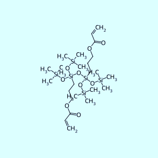 C=CC(=O)OCCC[Si](O[Si](C)(C)C)(O[Si](C)(C)C)O[Si](CCCOC(=O)C=C)(O[Si](C)(C)C)O[Si](C)(C)C